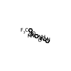 O=C(NCc1cccnc1)Nc1ccc(NS(=O)(=O)c2cccc(C(F)(F)F)c2)cc1